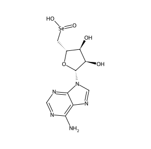 Nc1ncnc2c1ncn2[C@@H]1O[C@H](C[Se](=O)O)[C@@H](O)[C@H]1O